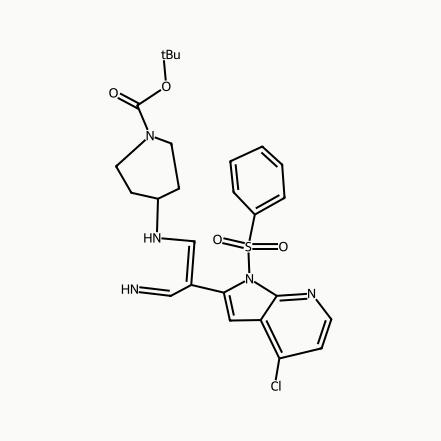 CC(C)(C)OC(=O)N1CCC(N/C=C(\C=N)c2cc3c(Cl)ccnc3n2S(=O)(=O)c2ccccc2)CC1